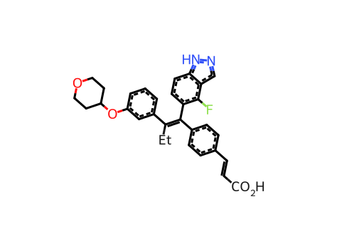 CCC(=C(c1ccc(C=CC(=O)O)cc1)c1ccc2[nH]ncc2c1F)c1cccc(OC2CCOCC2)c1